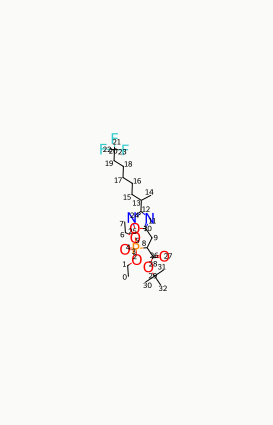 CCOP(=O)(OCC)C(Cc1nc(C(C)CCCCCC(F)(F)F)no1)C(=O)OC(C)(C)C